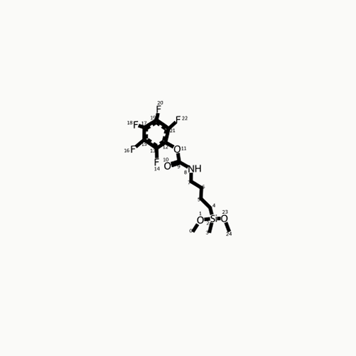 CO[Si](C)(CCCCNC(=O)Oc1c(F)c(F)c(F)c(F)c1F)OC